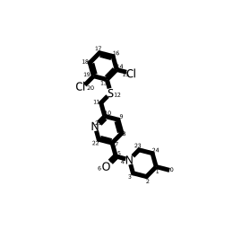 CC1CCN(C(=O)c2ccc(CSc3c(Cl)cccc3Cl)nc2)CC1